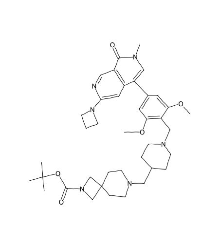 COc1cc(-c2cn(C)c(=O)c3cnc(N4CCC4)cc23)cc(OC)c1CN1CCC(CN2CCC3(CC2)CN(C(=O)OC(C)(C)C)C3)CC1